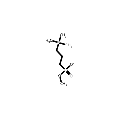 COP(=O)([O-])CCC[N+](C)(C)C